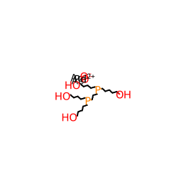 CC(=O)[O-].CC(=O)[O-].OCCCCCP(CCCCCO)CCCP(CCCCCO)CCCCCO.[Pd+2]